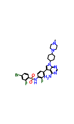 CN1CCN(C2CCC(n3cc(-c4ccc(NS(=O)(=O)c5ccc(Br)cc5F)c(F)c4)c4c(N)ncnc43)CC2)CC1